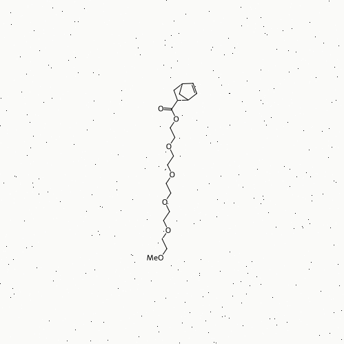 COCCOCCOCCOCCOCCOC(=O)C1CC2C=CC1C2